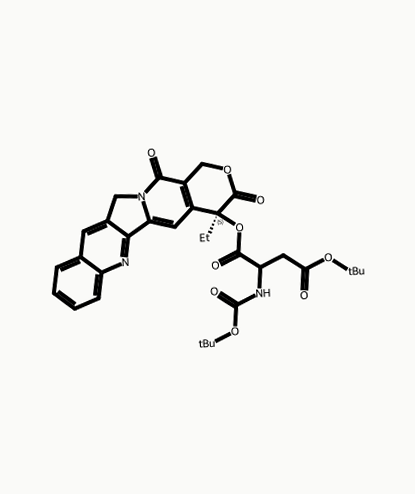 CC[C@@]1(OC(=O)C(CC(=O)OC(C)(C)C)NC(=O)OC(C)(C)C)C(=O)OCc2c1cc1n(c2=O)Cc2cc3ccccc3nc2-1